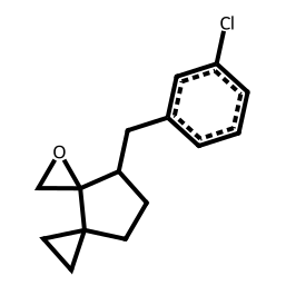 Clc1cccc(CC2CCC3(CC3)C23CO3)c1